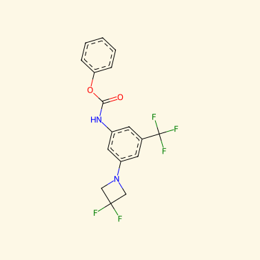 O=C(Nc1cc(N2CC(F)(F)C2)cc(C(F)(F)F)c1)Oc1ccccc1